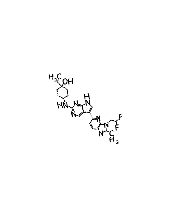 CC[C@]1(O)CC[C@@H](Nc2ncc3c(-c4ccc5nc(C)n(CC(F)F)c5n4)c[nH]c3n2)CC1